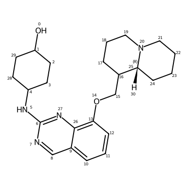 OC1CCC(Nc2ncc3cccc(OCC4CCCN5CCCC[C@H]45)c3n2)CC1